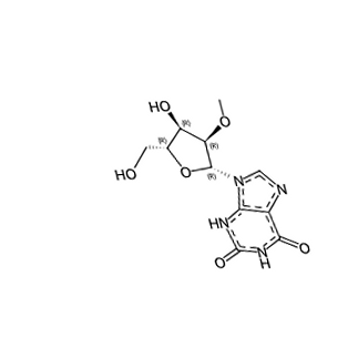 CO[C@@H]1[C@H](O)[C@@H](CO)O[C@H]1n1cnc2c(=O)[nH]c(=O)[nH]c21